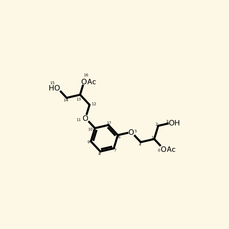 CC(=O)OC(CO)COc1cccc(OCC(CO)OC(C)=O)c1